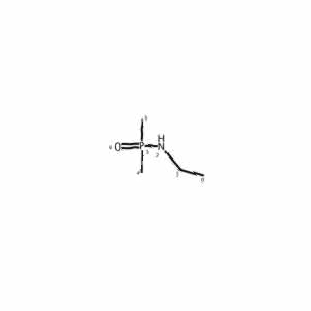 CCNP(C)(C)=O